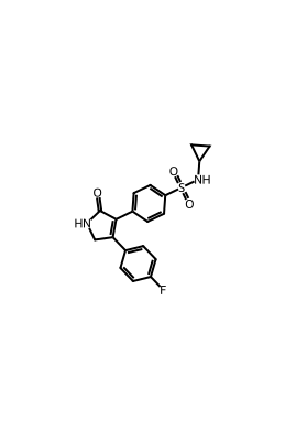 O=C1NCC(c2ccc(F)cc2)=C1c1ccc(S(=O)(=O)NC2CC2)cc1